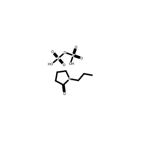 CCCN1CCCC1=O.O=S(=O)(O)OS(=O)(=O)O